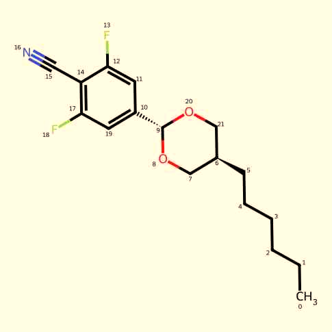 CCCCCC[C@H]1CO[C@H](c2cc(F)c(C#N)c(F)c2)OC1